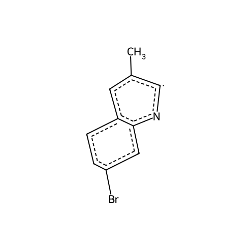 Cc1[c]nc2cc(Br)ccc2c1